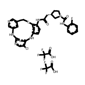 O=C(C[C@@H]1CCN(C(=O)Nc2ccccc2F)C1)Nc1ccc2cc1CCc1cncc(c1)Nc1ncc(Cl)c(n1)N2.O=C(O)C(F)(F)F.O=C(O)C(F)(F)F